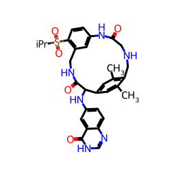 Cc1cc2cc(C)c1CNCC(=O)Nc1ccc(S(=O)(=O)C(C)C)c(c1)CNC(=O)C2Nc1ccc2nc[nH]c(=O)c2c1